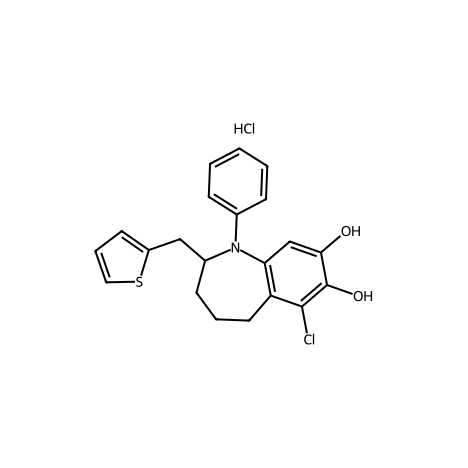 Cl.Oc1cc2c(c(Cl)c1O)CCCC(Cc1cccs1)N2c1ccccc1